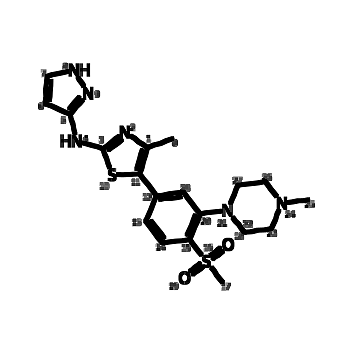 Cc1nc(Nc2cc[nH]n2)sc1-c1ccc(S(C)(=O)=O)c(N2CCN(C)CC2)c1